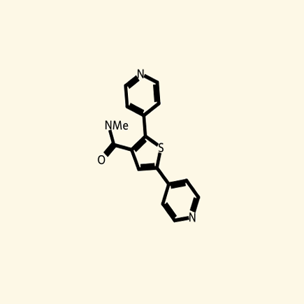 CNC(=O)c1cc(-c2ccncc2)sc1-c1ccncc1